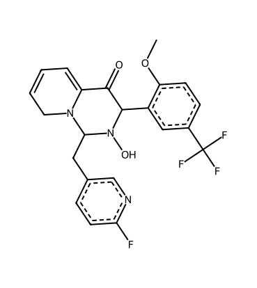 COc1ccc(C(F)(F)F)cc1C1C(=O)C2=CC=CCN2C(Cc2ccc(F)nc2)N1O